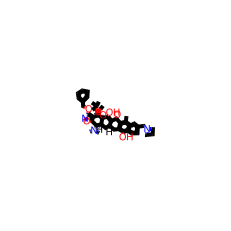 Cc1c2c(c(O)c3ccc(CN4CCC4)cc13)C[C@H]1C[C@H]3[C@H](N(C)C)c4onc(OCc5ccccc5)c4C(=O)[C@@]3(O[Si](C)(C)C(C)(C)C)C(O)=C1C2=O